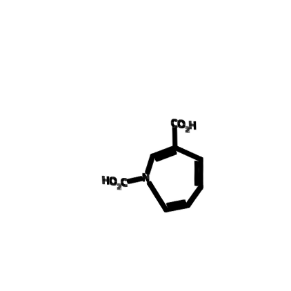 O=C(O)C1=CN(C(=O)O)C=CC=C1